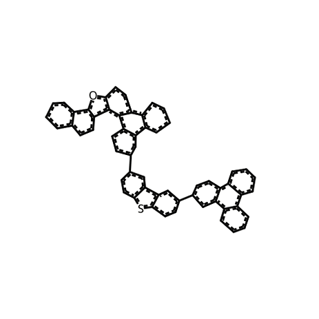 c1ccc2c(c1)ccc1c2oc2ccc3c4ccccc4c4cc(-c5ccc6sc7ccc(-c8ccc9c%10ccccc%10c%10ccccc%10c9c8)cc7c6c5)ccc4c3c21